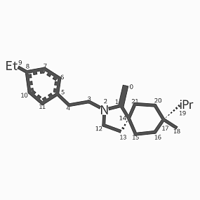 C=C1N(CCc2ccc(CC)cc2)CC[C@]12CC[C@@](C)(C(C)C)CC2